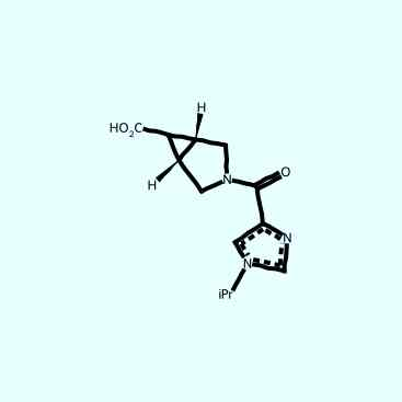 CC(C)n1cnc(C(=O)N2C[C@@H]3C(C(=O)O)[C@@H]3C2)c1